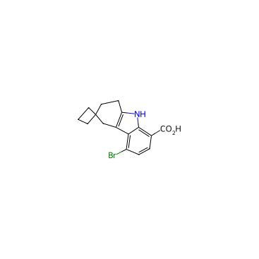 O=C(O)c1ccc(Br)c2c3c([nH]c12)CCC1(CCC1)C3